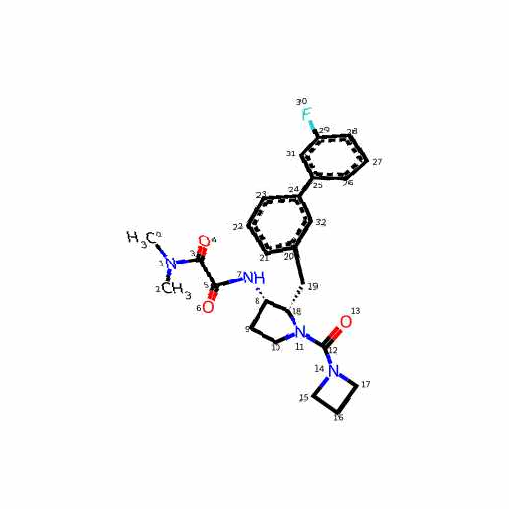 CN(C)C(=O)C(=O)N[C@H]1CCN(C(=O)N2CCC2)[C@H]1Cc1cccc(-c2cccc(F)c2)c1